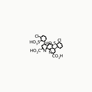 O=C(O)c1cc(-c2cccc(Cl)c2S(=O)(=O)O)c2ccc3c(-c4cccc(Cl)c4S(=O)(=O)O)cc(C(=O)O)nc3c2n1